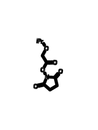 CC(C)OCC(=O)ON1C(=O)CCC1=O